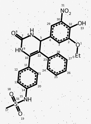 CCOc1cc(C2NC(=O)NC(c3ccc(NS(C)(=O)=O)cc3)=C2c2ccccc2)cc([N+](=O)[O-])c1O